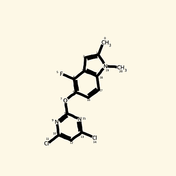 Cc1cc2c(F)c(Oc3nc(Cl)cc(Cl)n3)ccc2n1C